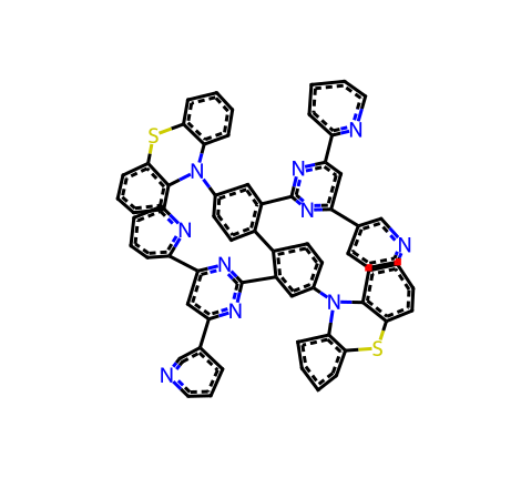 c1ccc(-c2cc(-c3cccnc3)nc(-c3cc(N4c5ccccc5Sc5ccccc54)ccc3-c3ccc(N4c5ccccc5Sc5ccccc54)cc3-c3nc(-c4cccnc4)cc(-c4ccccn4)n3)n2)nc1